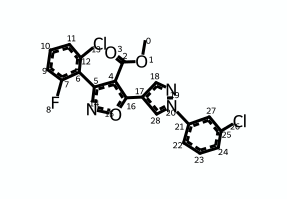 COC(=O)c1c(-c2c(F)cccc2Cl)noc1-c1cnn(-c2cccc(Cl)c2)c1